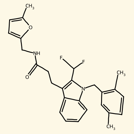 Cc1ccc(C)c(Cn2c(C(F)F)c(CCC(=O)NCc3ccc(C)o3)c3ccccc32)c1